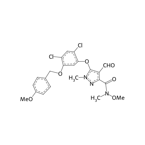 COc1ccc(COc2cc(Oc3c(C=O)c(C(=O)N(C)OC)nn3C)c(Cl)cc2Cl)cc1